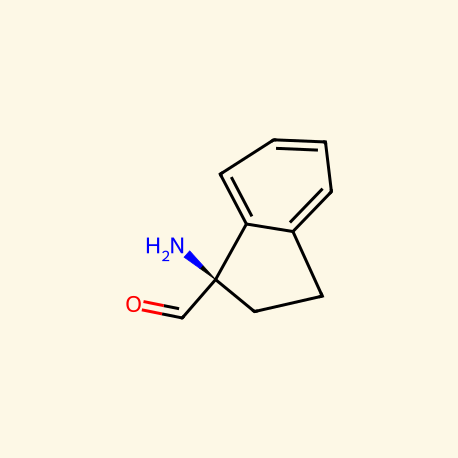 N[C@]1(C=O)CCc2ccccc21